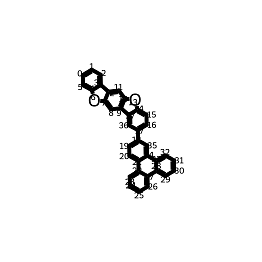 c1ccc2c(c1)oc1cc3c(cc12)oc1ccc(-c2ccc4c5ccccc5c5ccccc5c4c2)cc13